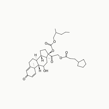 CCCC(C)COC(=O)O[C@]1(C(=O)COC(=O)CCC2CCCC2)CC[C@H]2[C@@H]3CCC4=CC(=O)C=C[C@]4(C)[C@H]3C(O)C[C@@]21C